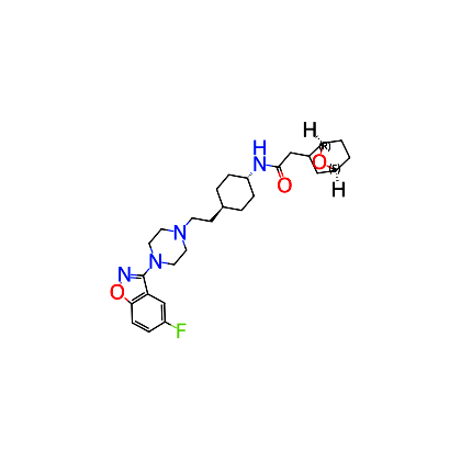 O=C(CC1C[C@@H]2CC[C@H]1O2)N[C@H]1CC[C@H](CCN2CCN(c3noc4ccc(F)cc34)CC2)CC1